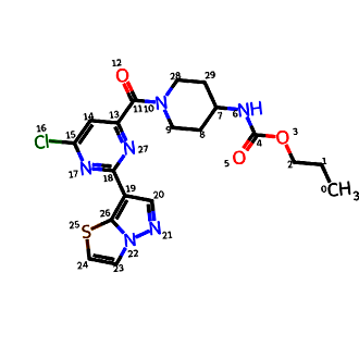 CCCOC(=O)NC1CCN(C(=O)c2cc(Cl)nc(-c3cnn4ccsc34)n2)CC1